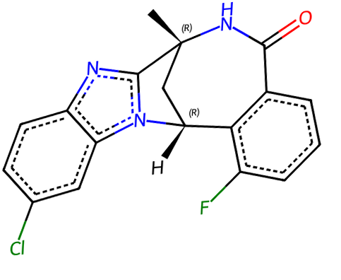 C[C@]12C[C@H](c3c(F)cccc3C(=O)N1)n1c2nc2ccc(Cl)cc21